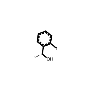 C[C@@H](O)c1ccccc1I